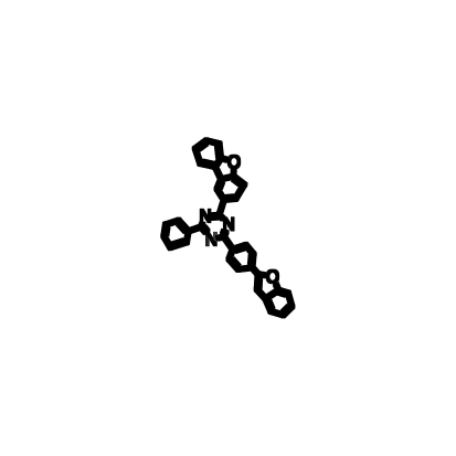 c1ccc(-c2nc(-c3ccc(-c4cc5ccccc5o4)cc3)nc(-c3ccc4oc5ccccc5c4c3)n2)cc1